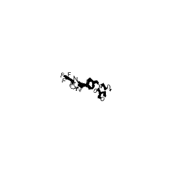 COCCN(Cc1ccc(-c2noc(C(F)(F)F)n2)cc1)C(=O)c1ccoc1